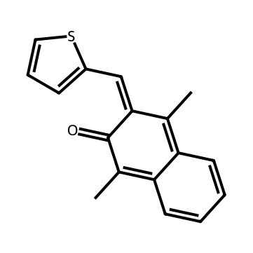 CC1=c2ccccc2=C(C)C(=Cc2cccs2)C1=O